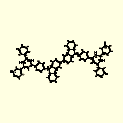 C1=CNCC(C2=NC(c3ccc(-n4c5ccccc5c5cc(-c6ccc7c(c6)c6ccccc6n7-c6ccc(C7=NC(c8cccnc8)NC(C8=CC=CNC8)N7)cc6)ccc54)cc3)NC(c3cccnc3)N2)=C1